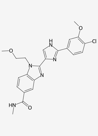 CNC(=O)c1ccc2c(c1)nc(-c1c[nH]c(-c3ccc(Cl)c(OC)c3)n1)n2CCOC